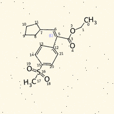 CCOC(=O)/C(=C/C1CCCC1)c1ccc(S(C)(=O)=O)cc1